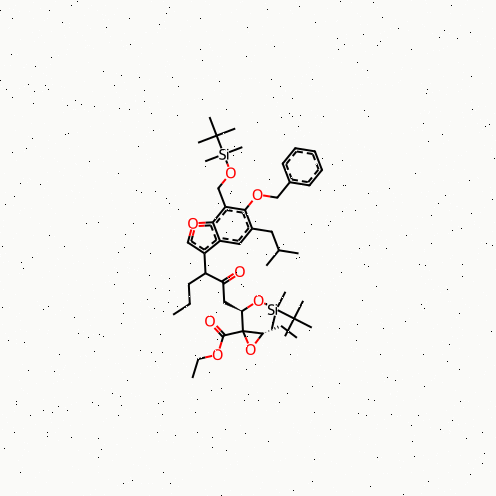 CCCC(C(=O)C[C@@H](O[Si](C)(C)C(C)(C)C)C1(C(=O)OCC)O[C@H]1CC)c1coc2c(CO[Si](C)(C)C(C)(C)C)c(OCc3ccccc3)c(CC(C)C)cc12